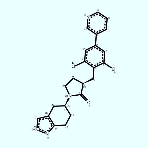 O=C1[C@H](Cc2c(Cl)cc(-c3cccnc3)cc2Cl)CCN1[C@H]1CCc2n[nH]cc2C1